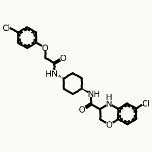 O=C(COc1ccc(Cl)cc1)N[C@H]1CC[C@H](NC(=O)C2COc3ccc(Cl)cc3N2)CC1